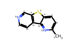 Cc1ccc2sc3cnccc3c2n1